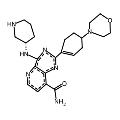 NC(=O)c1ccnc2c(N[C@H]3CCCNC3)nc(C3=CCC(N4CCOCC4)CC3)nc12